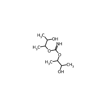 CC(O)C(C)OC(=N)OC(C)C(C)O